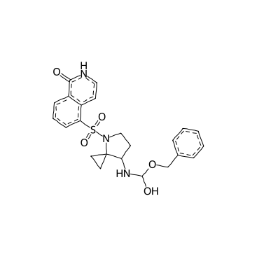 O=c1[nH]ccc2c(S(=O)(=O)N3CCC(NC(O)OCc4ccccc4)C34CC4)cccc12